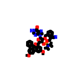 COc1ccc(C(OCC2O[C@@H](n3cnc4c(=O)[nH]cnc43)[C@H](OCc3ccccc3)[C@@H]2OP(OCCC#N)N(C(C)C)C(C)C)(c2ccccc2)c2ccc(OC)cc2)cc1